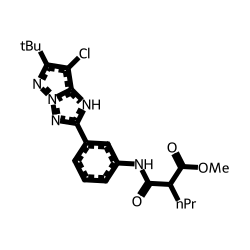 CCCC(C(=O)Nc1cccc(-c2nn3nc(C(C)(C)C)c(Cl)c3[nH]2)c1)C(=O)OC